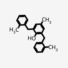 Cc1cc(Cc2ccccc2C)c(O)c(Cc2ccccc2C)c1